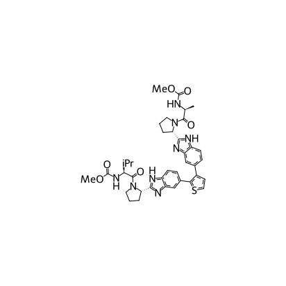 COC(=O)N[C@@H](C)C(=O)N1CCC[C@H]1c1nc2cc(-c3ccsc3-c3ccc4[nH]c([C@@H]5CCCN5C(=O)[C@@H](NC(=O)OC)C(C)C)nc4c3)ccc2[nH]1